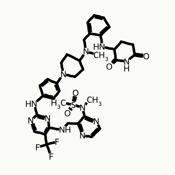 CN(Cc1ccccc1NC1CCC(=O)NC1=O)C1CCN(c2ccc(Nc3ncc(C(F)(F)F)c(NCc4nccnc4N(C)S(C)(=O)=O)n3)cc2)CC1